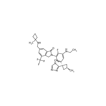 CCNc1cc([C@]2(c3nncn3C)C[C@@H](C)C2)cc(N2Cc3c(cc(CNC4(C)CCC4)cc3C(F)(F)F)C2=O)c1F